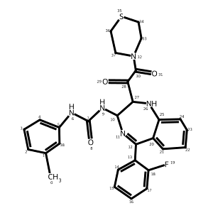 Cc1cccc(NC(=O)NC2N=C(c3ccccc3F)c3ccccc3NC2C(=O)C(=O)N2CCSCC2)c1